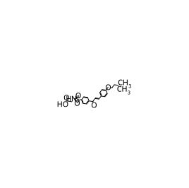 CC(C)CCOc1ccc(/C=C/C(=O)c2ccc(S(=O)(=O)NCC(=O)O)cc2)cc1